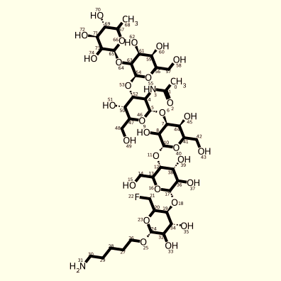 CC(=O)NC1[C@H](O[C@@H]2C(O)[C@@H](O[C@H]3C(CO)O[C@@H](O[C@@H]4C(CF)O[C@@H](OCCCCCN)C(O)[C@H]4O)C(O)[C@H]3O)OC(CO)[C@@H]2O)OC(CO)[C@H](O)[C@@H]1O[C@@H]1OC(CO)[C@H](O)[C@H](O)C1O[C@@H]1OC(C)[C@@H](O)[C@H](O)C1O